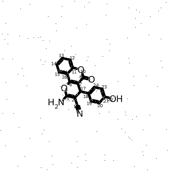 N#CC1=C(N)Oc2c(c(=O)oc3ccccc23)C1c1ccc(O)cc1